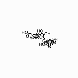 O=C(O)CNCP(=O)(O)OC1OC(COP(=O)(O)OP(=O)(O)OP(=O)(O)O)C(O)C1O